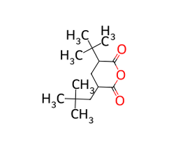 CC(C)(C)CC1CC(C(C)(C)C)C(=O)OC1=O